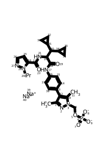 Cc1nn(COP(=O)([O-])[O-])c(C)c1-c1ccc(NC(=O)C(NC(=O)c2ccnn2C(C)C)C(C2CC2)C2CC2)cc1.[Na+].[Na+]